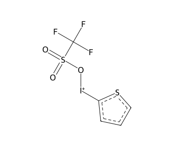 O=S(=O)(O[I+]c1cccs1)C(F)(F)F